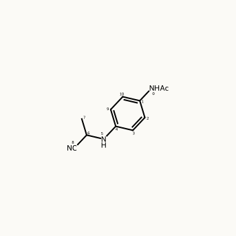 CC(=O)Nc1ccc(NC(C)C#N)cc1